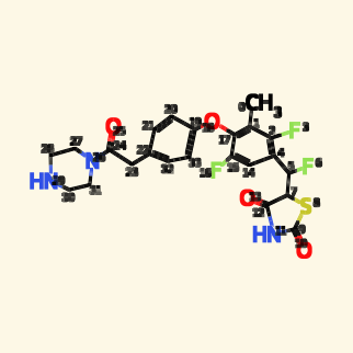 Cc1c(F)c(C(F)C2SC(=O)NC2=O)cc(F)c1Oc1ccc(CC(=O)N2CCNCC2)cc1